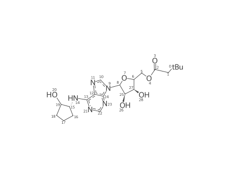 CC(C)(C)CC(=O)OCC1OC(n2cnc3c(N[C@@H]4CCCC4O)ncnc32)[C@H](O)[C@@H]1O